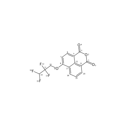 O=C1OC(=O)c2ccc(OCC(F)(F)C(F)F)c3cccc1c23